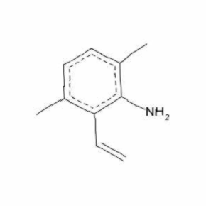 C=Cc1c(C)ccc(C)c1N